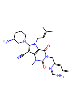 C=C/C=C(Cn1c(=O)c2c(c(C#N)c(N3CCC[C@H](N)C3)n2CC=C(C)C)n(C)c1=O)\N=C/N